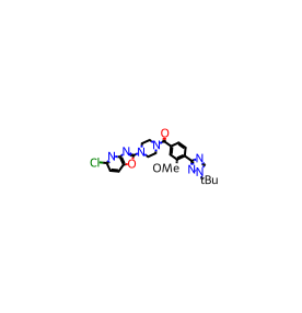 COc1cc(C(=O)N2CCN(c3nc4nc(Cl)ccc4o3)CC2)ccc1-c1ncn(C(C)(C)C)n1